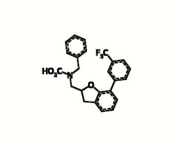 O=C(O)N(Cc1ccccc1)CC1Cc2cccc(-c3cccc(C(F)(F)F)c3)c2O1